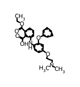 CCOC(=O)c1cccc(Nc2ccc(OCCN(C)C)cc2Oc2ccccc2)c1C(=O)O